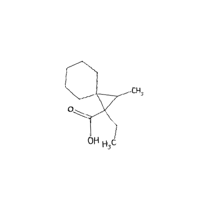 CCC1(C(=O)O)C(C)C12CCCCC2